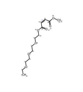 CCOCCOCCOCCOC(=O)/C=C\C(=O)OC